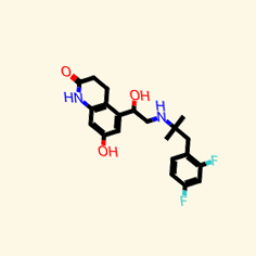 CC(C)(Cc1ccc(F)cc1F)NCC(O)c1cc(O)cc2c1CCC(=O)N2